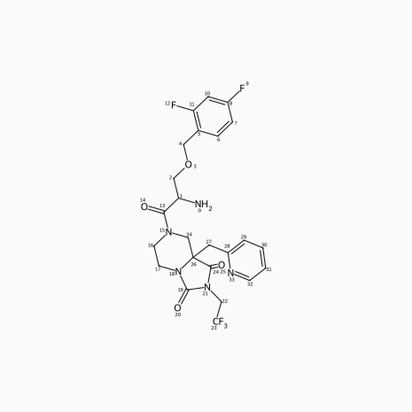 NC(COCc1ccc(F)cc1F)C(=O)N1CCN2C(=O)N(CC(F)(F)F)C(=O)C2(Cc2ccccn2)C1